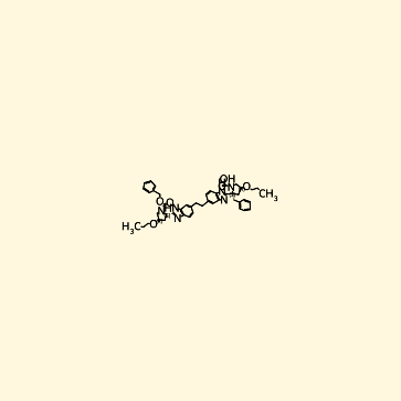 CCCO[C@@H]1C[C@@H](c2nc3ccc(CCc4ccc5[nH]c([C@]6(Cc7ccccc7)C[C@@H](OCCC)CN6C(=O)O)nc5c4)cc3[nH]2)N(C(=O)OCc2ccccc2)C1